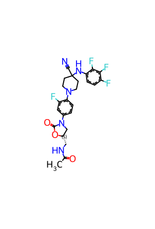 CC(=O)NC[C@H]1CN(c2ccc(N3CCC(C#N)(Nc4ccc(F)c(F)c4F)CC3)c(F)c2)C(=O)O1